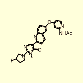 CC(=O)Nc1cc(Oc2ccc3nc(-c4cnc(N5CCC(F)C5)n(C)c4=O)ccc3c2)ccn1